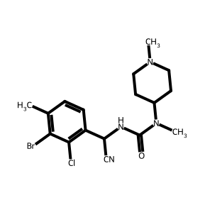 Cc1ccc(C(C#N)NC(=O)N(C)C2CCN(C)CC2)c(Cl)c1Br